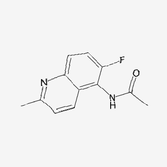 CC(=O)Nc1c(F)ccc2nc(C)ccc12